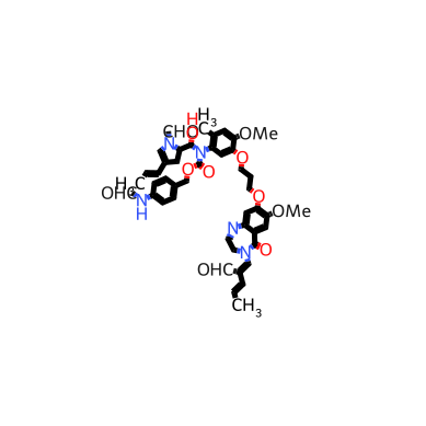 C/C=C/C1=CN(C=O)C(C(O)N(C(=O)OCc2ccc(NC=O)cc2)c2cc(OCCCOc3cc4c(cc3OC)C(=O)N(/C=C(C=O)/C=C/C)CC=N4)c(OC)cc2C)C1